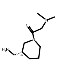 CN(C)CC(=O)N1CCC[C@H](CN)C1